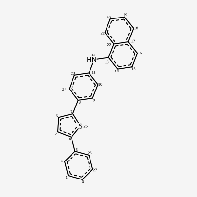 c1ccc(-c2ccc(-c3ccc(Nc4cccc5ccccc45)cc3)s2)cc1